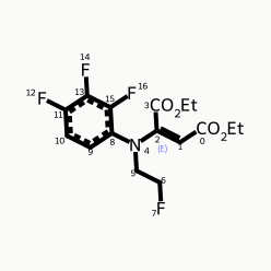 CCOC(=O)/C=C(\C(=O)OCC)N(CCF)c1ccc(F)c(F)c1F